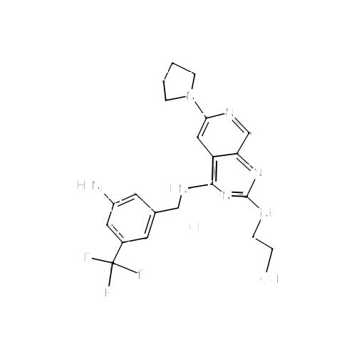 C[C@@H](Nc1nc(NCCO)nc2cnc(N3CCCC3)cc12)c1cc(N)cc(C(F)(F)F)c1